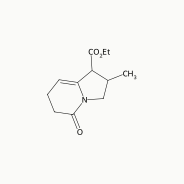 CCOC(=O)C1C2=CCCC(=O)N2CC1C